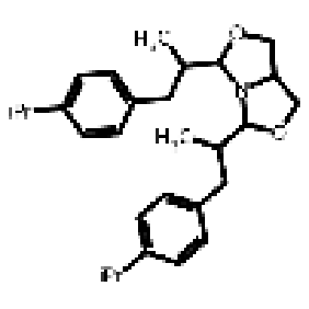 CC(C)c1ccc(CC(C)C2OCC3COC(C(C)Cc4ccc(C(C)C)cc4)N32)cc1